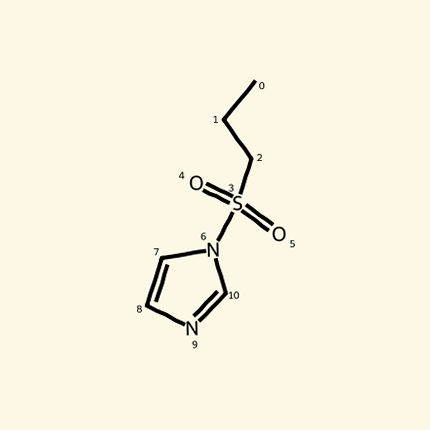 CCCS(=O)(=O)n1ccnc1